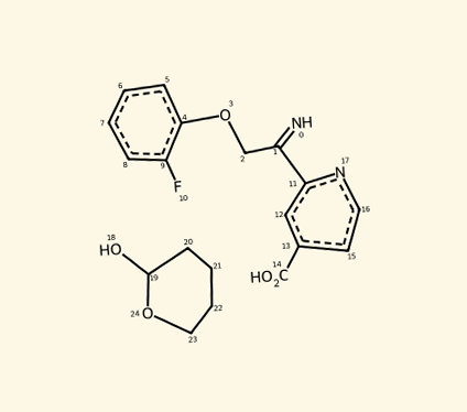 N=C(COc1ccccc1F)c1cc(C(=O)O)ccn1.OC1CCCCO1